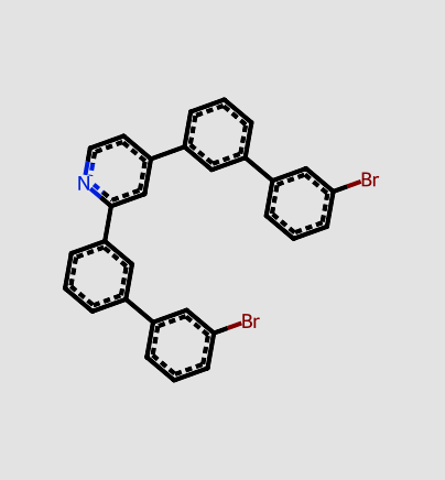 Brc1cccc(-c2cccc(-c3ccnc(-c4cccc(-c5cccc(Br)c5)c4)c3)c2)c1